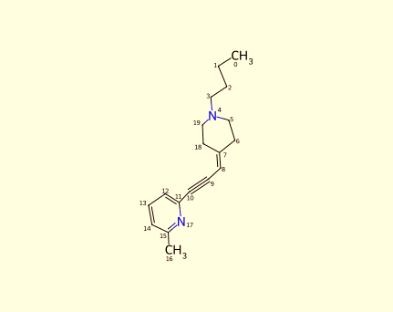 CCCCN1CCC(=CC#Cc2cccc(C)n2)CC1